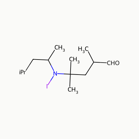 CC(C)CC(C)N(I)C(C)(C)CC(C)C=O